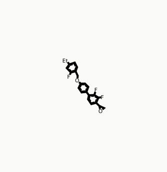 CCc1ccc(COc2ccc(-c3ccc(C4CO4)c(F)c3F)cc2)c(F)c1